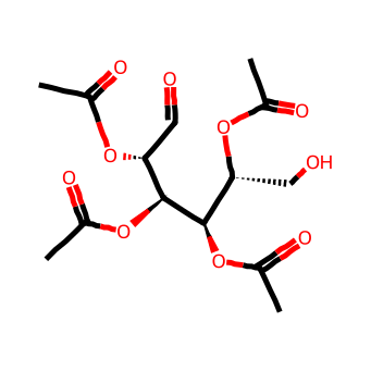 CC(=O)O[C@H]([C@H](OC(C)=O)[C@@H](CO)OC(C)=O)[C@@H](C=O)OC(C)=O